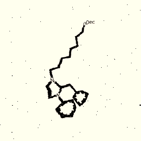 CCCCCCCCCCCCCCCCCCN1C=CN(c2ccccc2)C1Cc1ccccc1